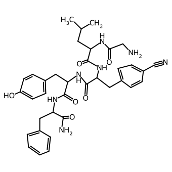 CC(C)CC(NC(=O)CN)C(=O)NC(Cc1ccc(C#N)cc1)C(=O)NC(Cc1ccc(O)cc1)C(=O)NC(Cc1ccccc1)C(N)=O